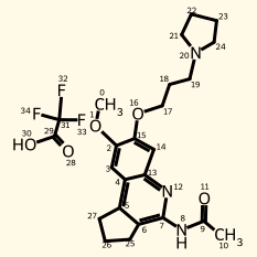 COc1cc2c3c(c(NC(C)=O)nc2cc1OCCCN1CCCC1)CCC3.O=C(O)C(F)(F)F